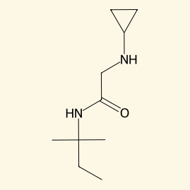 CCC(C)(C)NC(=O)CNC1CC1